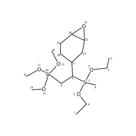 CCO[Si](C)(OCC)C(C[Si](OC)(OC)OC)C1CCC2OC2C1